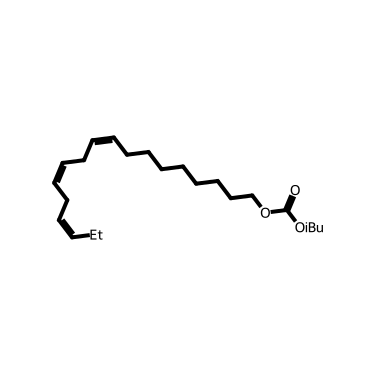 CC/C=C\C/C=C\C/C=C\CCCCCCCCOC(=O)OCC(C)C